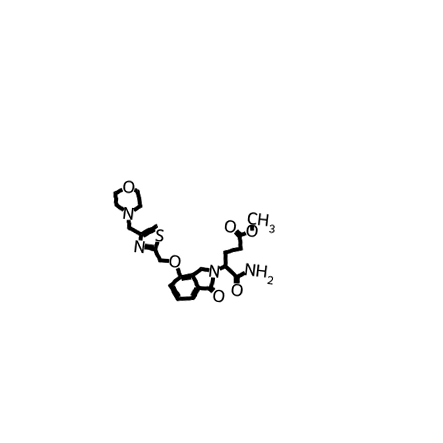 COC(=O)CCC(C(N)=O)N1Cc2c(OCc3nc(CN4CCOCC4)cs3)cccc2C1=O